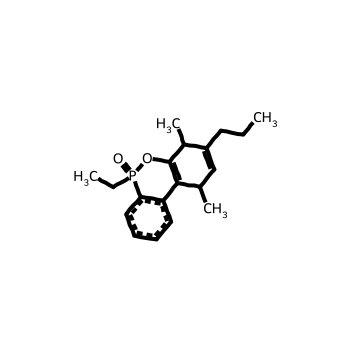 CCCC1=CC(C)C2=C(OP(=O)(CC)c3ccccc32)C1C